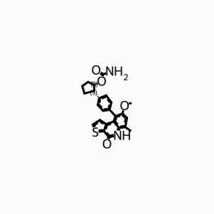 COc1cc(C)c2[nH]c(=O)c3sccc3c2c1-c1ccc([C@@H]2CCC[C@H]2OC(N)=O)cc1